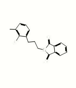 Cc1cccc(CCCN2C(=O)c3ccccc3C2=O)c1F